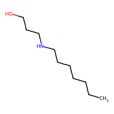 CCCCCCCNCCCO